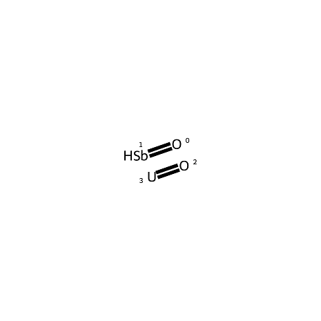 [O]=[SbH].[O]=[U]